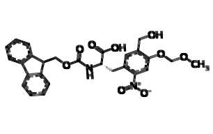 COCOc1cc([N+](=O)[O-])c(C[C@H](NC(=O)OCC2c3ccccc3-c3ccccc32)C(=O)O)cc1CO